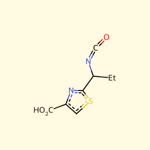 CCC(N=C=O)c1nc(C(=O)O)cs1